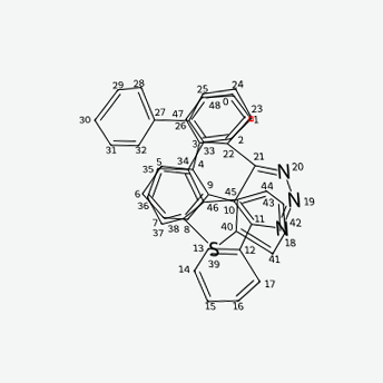 c1ccc(-c2ccccc2-c2c(-c3ccccc3)nnnc2-c2cccc(-c3ccccc3)c2-c2cccc3sc4ccccc4c23)cc1